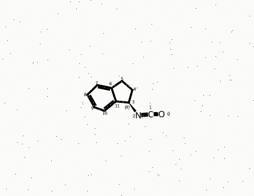 O=C=N[C@@H]1CCc2ccccc21